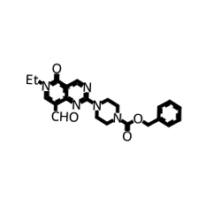 CCn1cc(C=O)c2nc(N3CCN(C(=O)OCc4ccccc4)CC3)ncc2c1=O